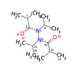 CC(C)C(=O)N(C(C)C)N(C(=O)C(C)C)C(C)C